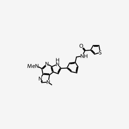 CNc1nc2[nH]c(-c3cccc(CNC(=O)c4ccsc4)c3)cc2c2c1ncn2C